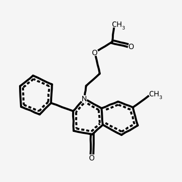 CC(=O)OCCn1c(-c2ccccc2)cc(=O)c2ccc(C)cc21